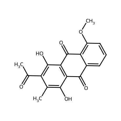 COc1cccc2c1C(=O)c1c(O)c(C(C)=O)c(C)c(O)c1C2=O